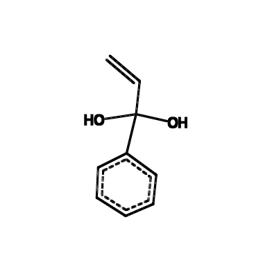 C=CC(O)(O)c1ccccc1